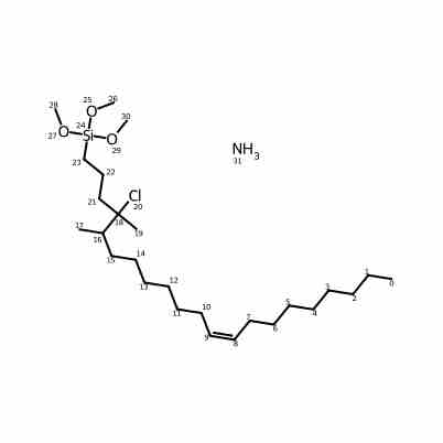 CCCCCCCC/C=C\CCCCCCC(C)C(C)(Cl)CCC[Si](OC)(OC)OC.N